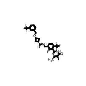 Cc1nc(-c2c(C(F)(F)F)ccc(CNC(=O)[C@H]3C[C@H](OCc4cccc(C(F)(F)F)c4)C3)c2F)[nH]c(=O)c1F